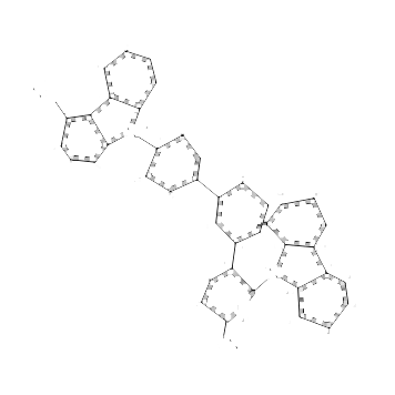 N#Cc1ccc(-c2cccc(-c3ccc(-n4c5ccccc5c5c(C#N)cccc54)cc3)c2)c(-n2c3ccccc3c3ccccc32)c1